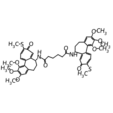 COc1cc2c(c(OC)c1OC)-c1ccc(SC)c(=O)cc1[C@@H](NC(=O)CCCCC(=O)N[C@H]1CCc3cc(OC)c(OC)c(OC)c3-c3ccc(SC)c(=O)cc31)CC2